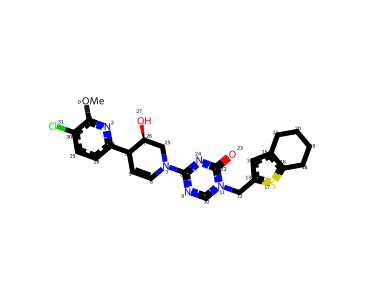 COc1nc(C2C=CN(c3ncn(Cc4cc5c(s4)CCCC5)c(=O)n3)C[C@@H]2O)ccc1Cl